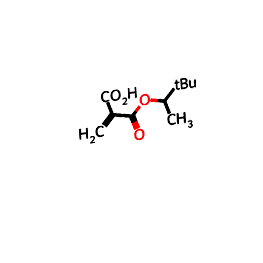 C=C(C(=O)O)C(=O)OC(C)C(C)(C)C